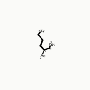 CC(=O)[C@H](CO)CCCC(C)C